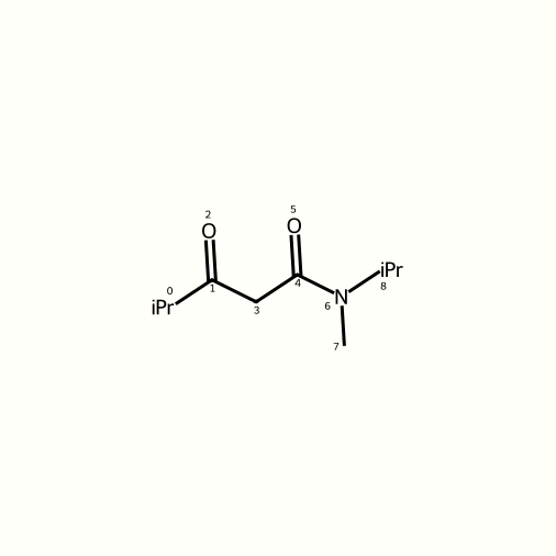 CC(C)C(=O)CC(=O)N(C)C(C)C